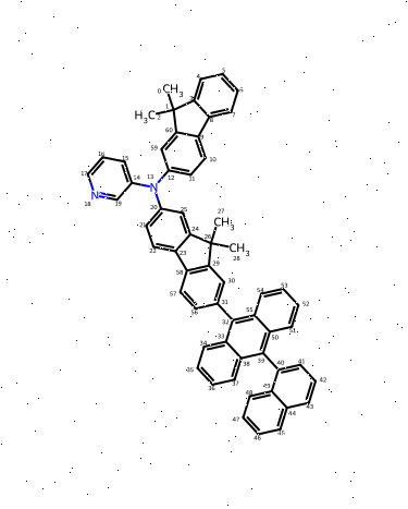 CC1(C)c2ccccc2-c2ccc(N(c3cccnc3)c3ccc4c(c3)C(C)(C)c3cc(-c5c6ccccc6c(-c6cccc7ccccc67)c6ccccc56)ccc3-4)cc21